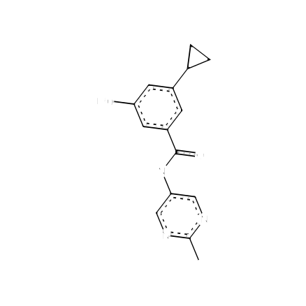 Cc1ncc(NC(=O)c2cc(C3CC3)cc(C(C)(C)C)c2)cn1